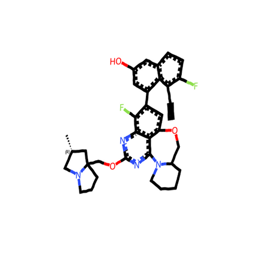 C#Cc1c(F)ccc2cc(O)cc(-c3cc4c5c(nc(OCC67CCCN6C[C@H](C)C7)nc5c3F)N3CCCCC3CO4)c12